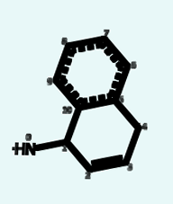 [NH]C1C=C[CH]c2ccccc21